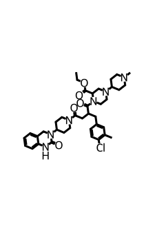 CCOC(=O)C1CN(C2CCN(C)CC2)CCN1C(=O)C(CC(=O)N1CCC(N2Cc3ccccc3NC2=O)CC1)Cc1ccc(Cl)c(C)c1